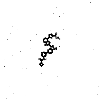 CC(=O)c1ccc(-c2ccnc3[nH]c(-c4n[nH]c5ccc(-c6cncc(NC(=O)C7CCC7)c6)cc45)cc23)s1